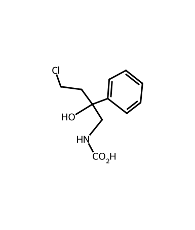 O=C(O)NCC(O)(CCCl)c1ccccc1